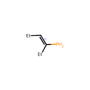 CC/C=C(/P)CC